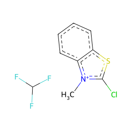 C[n+]1c(Cl)sc2ccccc21.FC(F)F